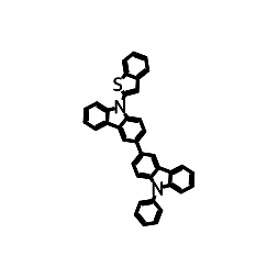 c1ccc(-n2c3ccccc3c3cc(-c4ccc5c(c4)c4ccccc4n5-c4cc5ccccc5s4)ccc32)cc1